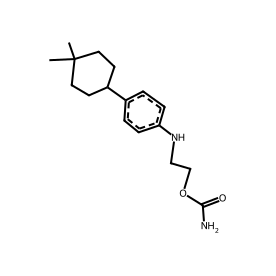 CC1(C)CCC(c2ccc(NCCOC(N)=O)cc2)CC1